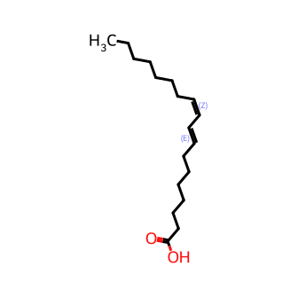 CCCCCCC/C=C\C=C\CCCCCCC(=O)O